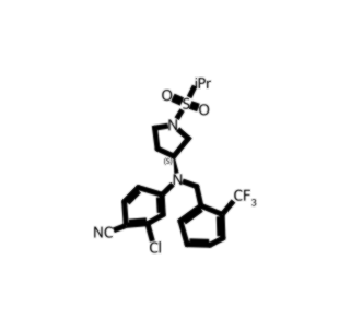 CC(C)S(=O)(=O)N1CC[C@H](N(Cc2ccccc2C(F)(F)F)c2ccc(C#N)c(Cl)c2)C1